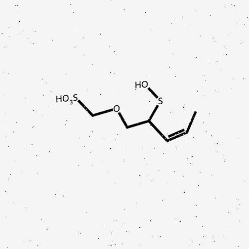 C/C=C\C(COCS(=O)(=O)O)SO